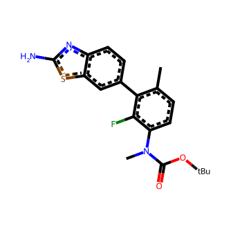 Cc1ccc(N(C)C(=O)OC(C)(C)C)c(F)c1-c1ccc2nc(N)sc2c1